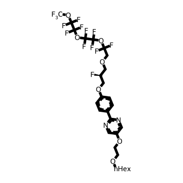 CCCCCCOCCOc1cnc(-c2ccc(OC[C@@H](F)COCC(F)(F)OC(F)(F)C(F)(F)OC(F)(F)C(F)(F)OC(F)(F)F)cc2)nc1